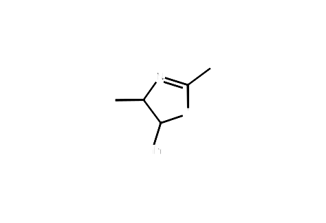 CC1=NC(C)C(C(C)C)O1